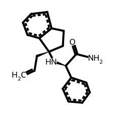 C=CC[C@]1(N[C@@H](C(N)=O)c2ccccc2)CCc2ccccc21